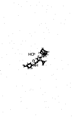 CCc1ccc(NC(=O)CC2CSC(=NC34CC5CC(CC(C5)C3)C4)N2C2CC2)cc1.Cl